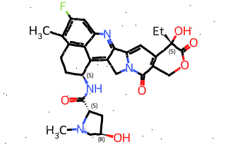 CC[C@@]1(O)C(=O)OCc2c1cc1n(c2=O)Cc2c-1nc1cc(F)c(C)c3c1c2[C@@H](NC(=O)[C@@H]1C[C@@H](O)CN1C)CC3